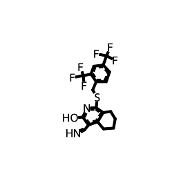 N=Cc1c(O)nc(SCc2ccc(C(F)(F)F)cc2C(F)(F)F)c2c1CCCC2